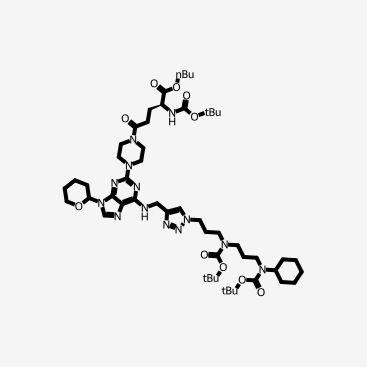 CCCCOC(=O)[C@H](CCC(=O)N1CCN(c2nc(NCc3cn(CCCN(CCCN(C(=O)OC(C)(C)C)C4CCCCC4)C(=O)OC(C)(C)C)nn3)c3ncn(C4CCCCO4)c3n2)CC1)NC(=O)OC(C)(C)C